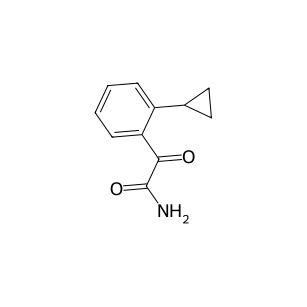 NC(=O)C(=O)c1ccccc1C1CC1